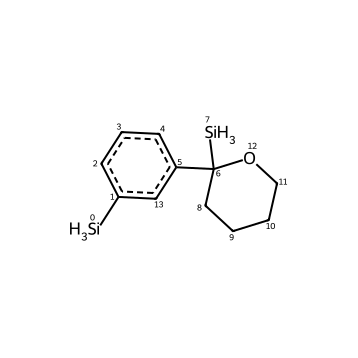 [SiH3]c1cccc(C2([SiH3])CCCCO2)c1